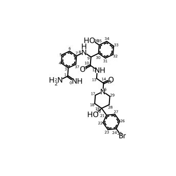 N=C(N)c1cccc(NC(C(=O)NCC(=O)N2CCC(O)(c3ccc(Br)cc3)CC2)c2ccccc2O)c1